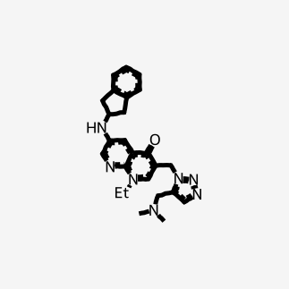 CCn1cc(Cn2nncc2CN(C)C)c(=O)c2cc(NC3Cc4ccccc4C3)cnc21